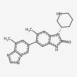 Cc1cc2c(cc1-c1cc(C)c3ncnn3c1)[nH]c(=O)n2[C@H]1CCCNC1